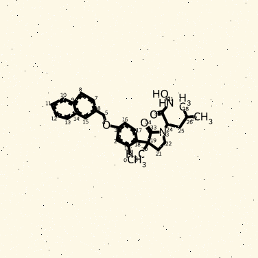 Cc1cc(OCc2ccc3ccccc3c2)ccc1C1(C)CCN(C(CC(C)C)C(=O)NO)C1=O